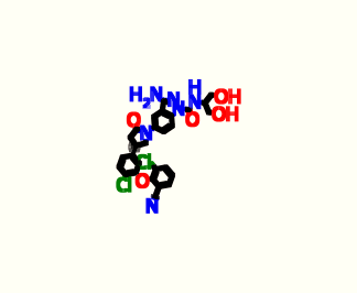 N#Cc1cccc(Cl)c1Oc1cc([C@H]2CC(=O)N(c3ccc4c(c3)c(N)nn4C(=O)NC(CO)CO)C2)ccc1Cl